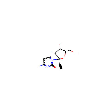 C#C[C@]1(n2ccc(N)nc2=O)O[C@H](CO)[C@@H](O)[C@H]1O